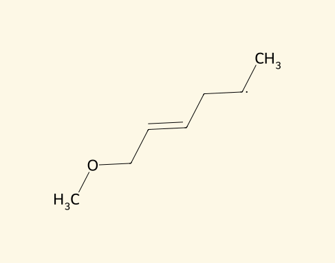 C[CH]CC=CCOC